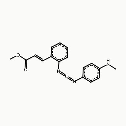 CNc1ccc(N=C=Nc2ccccc2/C=C/C(=O)OC)cc1